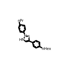 CCCCCCc1ccc(C2=CNN(c3ccc(CCC)cc3)S2)cc1